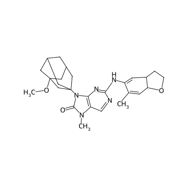 COC12CC3CC(C1)CC(n1c(=O)n(C)c4cnc(NC5=CC6CCOC6C=C5C)nc41)(C3)C2